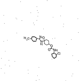 Cc1ccc(C2=NOC3(CCC(OC(=O)Nc4ccccc4Cl)CC3)N2)cc1